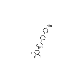 CCCCc1ccc(-c2ccc(C3COB(c4cc(F)c(F)c(I)c4)OC3)cc2)cc1